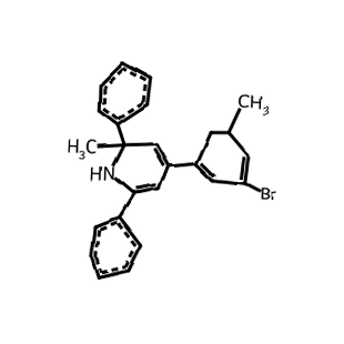 CC1C=C(Br)C=C(C2=CC(C)(c3ccccc3)NC(c3ccccc3)=C2)C1